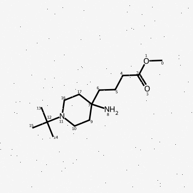 COC(=O)CCCC1(N)CCN(C(C)(C)C)CC1